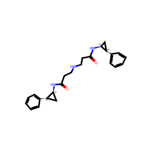 O=C(CCNCCC(=O)N[C@H]1C[C@@H]1c1ccccc1)N[C@H]1C[C@@H]1c1ccccc1